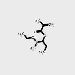 C=C(C)C(=O)OC(CC)[SiH](C)OCC